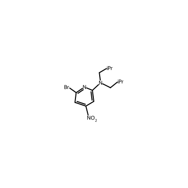 CC(C)CN(CC(C)C)c1cc([N+](=O)[O-])cc(Br)n1